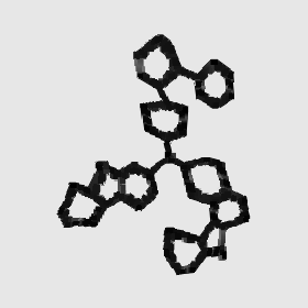 c1ccc(-c2ccccc2-c2ccc(N(c3ccc4c(c3)oc3ccccc34)c3ccc4ccc5sc6ccccc6c5c4c3)cc2)cc1